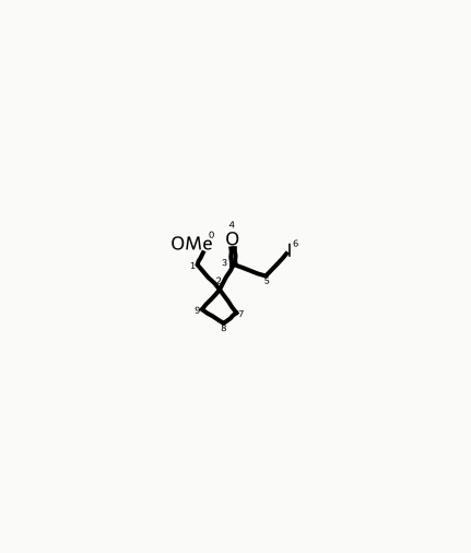 COCC1(C(=O)CI)CCC1